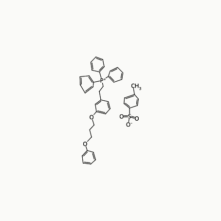 Cc1ccc(S(=O)(=O)[O-])cc1.c1ccc(OCCCOc2cccc(CC[P+](c3ccccc3)(c3ccccc3)c3ccccc3)c2)cc1